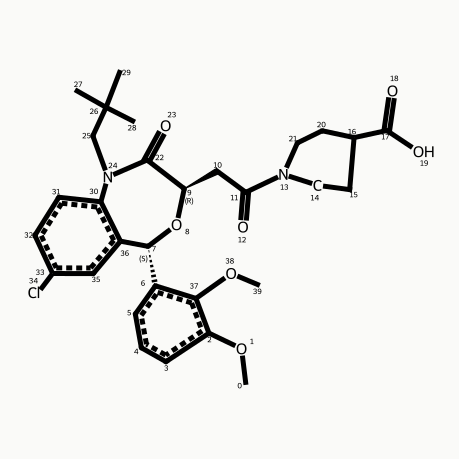 COc1cccc([C@H]2O[C@H](CC(=O)N3CCC(C(=O)O)CC3)C(=O)N(CC(C)(C)C)c3ccc(Cl)cc32)c1OC